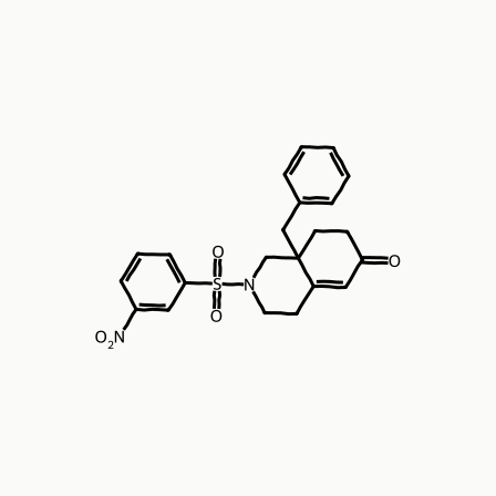 O=C1C=C2CCN(S(=O)(=O)c3cccc([N+](=O)[O-])c3)CC2(Cc2ccccc2)CC1